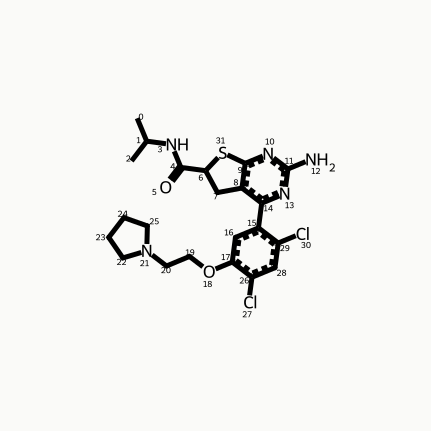 CC(C)NC(=O)C1Cc2c(nc(N)nc2-c2cc(OCCN3CCCC3)c(Cl)cc2Cl)S1